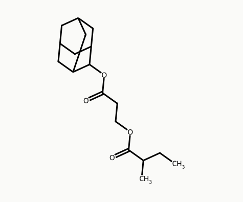 CCC(C)C(=O)OCCC(=O)OC1C2CC3CC(C2)CC1C3